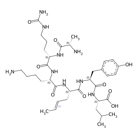 C/C=C/C[C@H](NC(=O)[C@H](CCCCN)NC(=O)[C@H](CCCNC(N)=O)NC(=O)[C@H](C)N)C(=O)N[C@@H](Cc1ccc(O)cc1)C(=O)N[C@@H](CC(C)C)C(=O)O